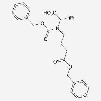 CC(C)[C@@H](C(=O)O)N(CCCC(=O)OCc1ccccc1)C(=O)OCc1ccccc1